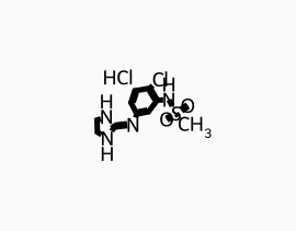 CS(=O)(=O)Nc1cc(N=C2NCCN2)ccc1Cl.Cl